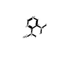 CCCN(C)c1n[c]ncc1N(C)C